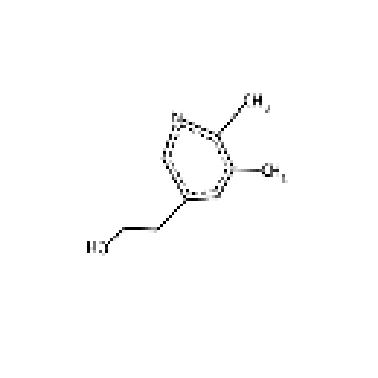 Cc1cc(CCO)cnc1C